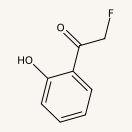 O=C(CF)c1ccccc1O